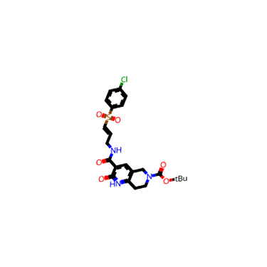 CC(C)(C)OC(=O)N1CCc2[nH]c(=O)c(C(=O)NC/C=C/S(=O)(=O)c3ccc(Cl)cc3)cc2C1